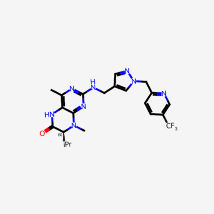 Cc1nc(NCc2cnn(Cc3ccc(C(F)(F)F)cn3)c2)nc2c1NC(=O)[C@H](C(C)C)N2C